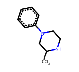 ClC(Cl)(Cl)C1CN(c2ccccc2)CCN1